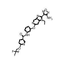 CCn1c(-c2nonc2N)nc2cnc(Oc3cccc(NC(=O)c4ccc(OCC(F)(F)F)nc4)c3)cc21